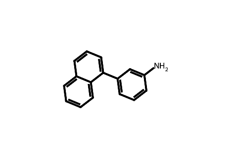 Nc1cccc(-c2cccc3ccccc23)c1